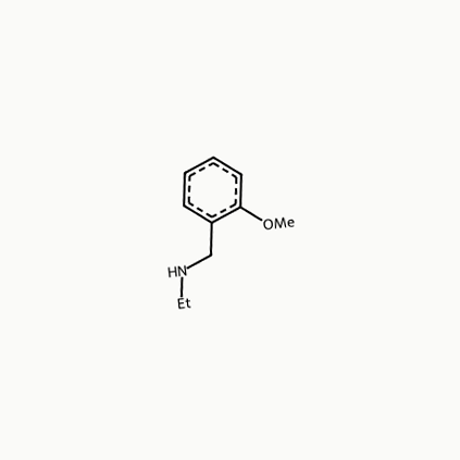 CCNCc1ccccc1OC